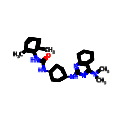 Cc1cccc(C)c1NC(=O)N[C@H]1CC[C@@H](Nc2nc3c(c(N(C)C)n2)CCCC3)CC1